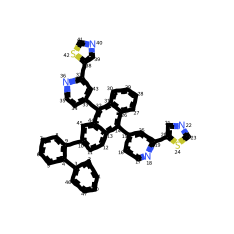 c1ccc(-c2ccccc2-c2ccc3c(-c4ccnc(-c5cncs5)c4)c4ccccc4c(-c4ccnc(-c5cncs5)c4)c3c2)cc1